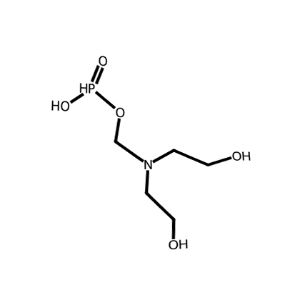 O=[PH](O)OCN(CCO)CCO